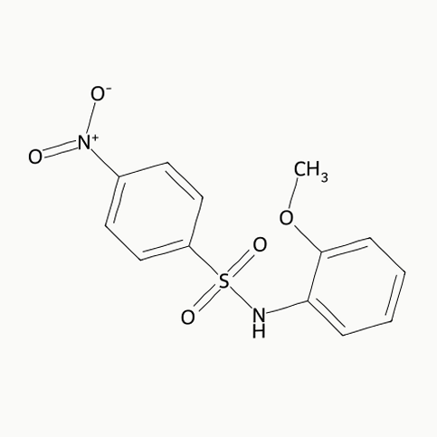 COc1ccccc1NS(=O)(=O)c1ccc([N+](=O)[O-])cc1